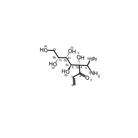 C=CC(=O)[C@](O)(C(N)CCC)[C@@H](O)[C@@H](O)[C@H](O)CO